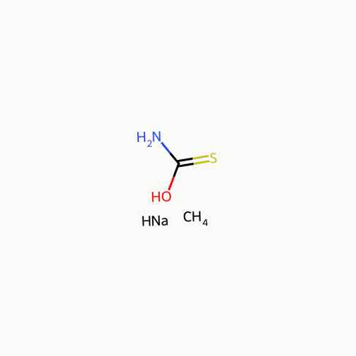 C.NC(O)=S.[NaH]